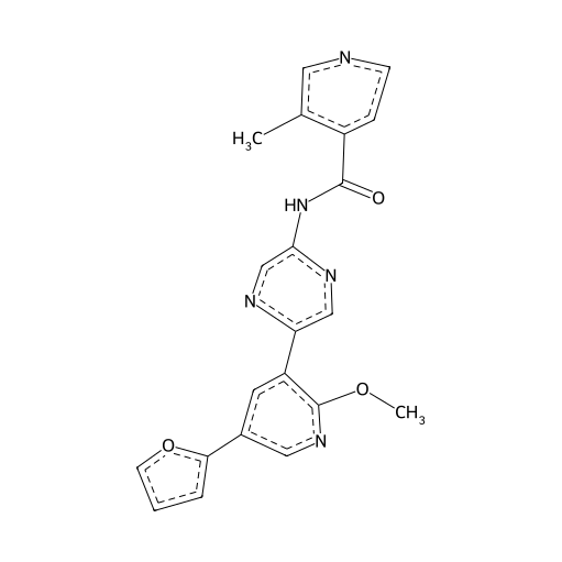 COc1ncc(-c2ccco2)cc1-c1cnc(NC(=O)c2ccncc2C)cn1